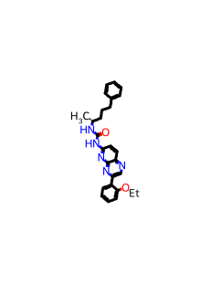 CCOc1ccccc1-c1cnc2ccc(NC(=O)N[C@H](C)CCCc3ccccc3)nc2n1